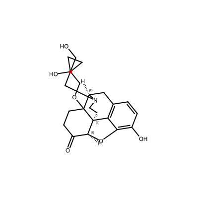 O=C1CCC2(OCC(O)CO)[C@H]3Cc4ccc(O)c5c4[C@@]2(CCN3CC2CC2)[C@H]1O5